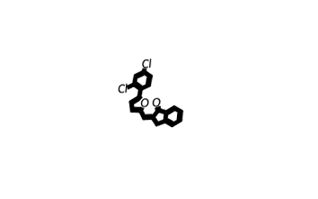 O=C1C(=Cc2ccc(-c3ccc(Cl)cc3Cl)o2)Cc2ccccc21